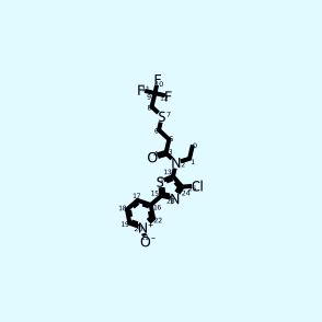 CCN(C(=O)CCSCC(F)(F)F)c1sc(-c2ccc[n+]([O-])c2)nc1Cl